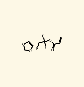 C1=COCO1.C=CC(=O)OC(F)(F)CF